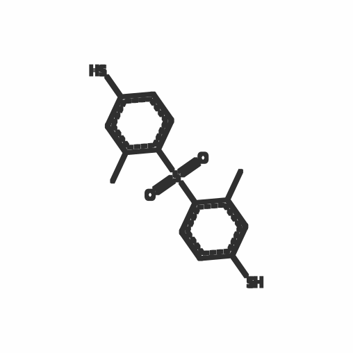 Cc1cc(S)ccc1S(=O)(=O)c1ccc(S)cc1C